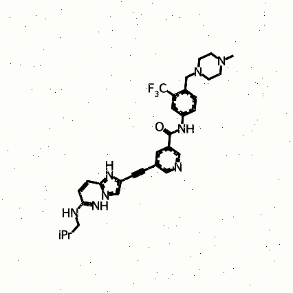 CC(C)CNC(=N)/C=C\c1ncc(C#Cc2cncc(C(=O)Nc3ccc(CN4CCN(C)CC4)c(C(F)(F)F)c3)c2)[nH]1